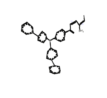 BC(/C=C\C(=C)c1ccc(N(c2ccc(-c3ccccc3)cc2)c2ccc(-c3ccccc3)cc2)cc1)=C/C